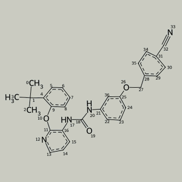 CC(C)(C)c1ccccc1Oc1ncccc1NC(=O)Nc1cccc(OCc2ccc(C#N)cc2)c1